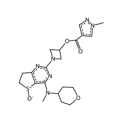 CN(c1nc(N2CC(OC(=O)c3cnn(C)c3)C2)nc2c1[S+]([O-])CC2)C1CCOCC1